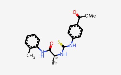 COC(=O)c1ccc(NC(=S)N[C@H](C(=O)Nc2ccccc2C)C(C)C)cc1